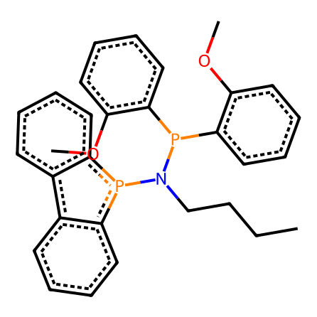 CCCCN(P(c1ccccc1OC)c1ccccc1OC)p1c2ccccc2c2ccccc21